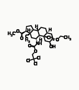 CCO[C@H]1C[C@@H]2CC[C@@H]3[C@H]([C@H](NC(=O)OCC(Cl)(Cl)Cl)C[C@]4(C)[C@@H](C(=O)OC)CC[C@@H]34)[C@@]2(C)C[C@@H]1O